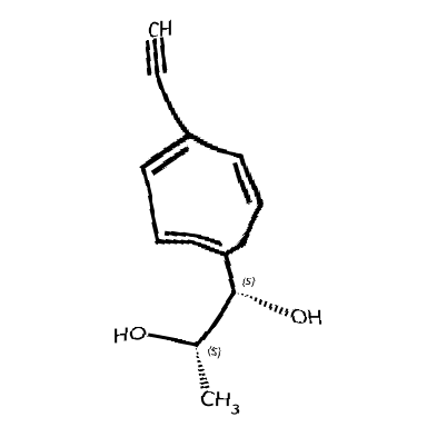 C#Cc1ccc([C@H](O)[C@H](C)O)cc1